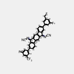 N#C/N=c1\c2cc(-c3cc(F)cc(CF)c3)ccc2c2cc3/c(=N/C#N)c4cc(-c5cc(F)cc(C(F)(F)F)c5)ccc4c3cc12